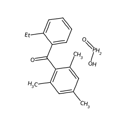 CCc1ccccc1C(=O)c1c(C)cc(C)cc1C.O=[PH2]O